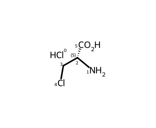 Cl.N[C@H](CCl)C(=O)O